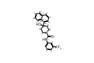 O=C(Nc1cccc(C(F)(F)F)c1)N1CCC(O)(c2cccc3ccccc23)CC1